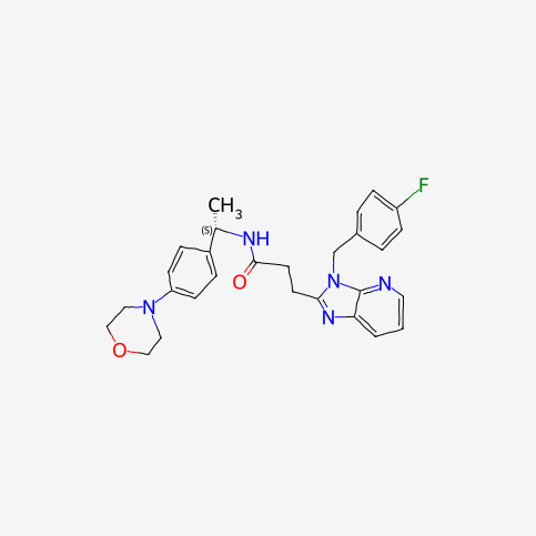 C[C@H](NC(=O)CCc1nc2cccnc2n1Cc1ccc(F)cc1)c1ccc(N2CCOCC2)cc1